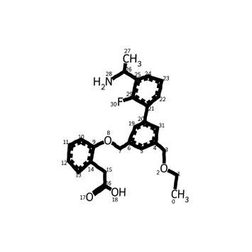 CCOCc1cc(COc2ccccc2CC(=O)O)cc(-c2cccc(C(C)N)c2F)c1